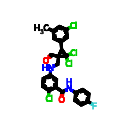 Cc1cc(Cl)cc(C2C(Cl)(Cl)C2(C=O)CNc2ccc(Cl)c(C(=O)Nc3ccc(F)cc3)c2)c1